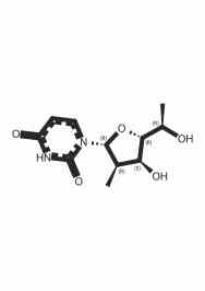 C[C@@H]1[C@H](O)[C@@H]([C@@H](C)O)O[C@H]1n1ccc(=O)[nH]c1=O